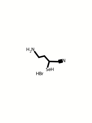 Br.N#CC([SeH])CCN